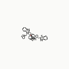 c1cc(OCc2nc3ccccc3s2)nc([C@@]23CCN(Cc4nc5ccccc5n4C[C@@H]4CCO4)C[C@@H]2C3)c1